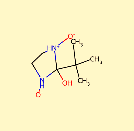 CC(C)(C)C1(O)[NH+]([O-])CC[NH+]1[O-]